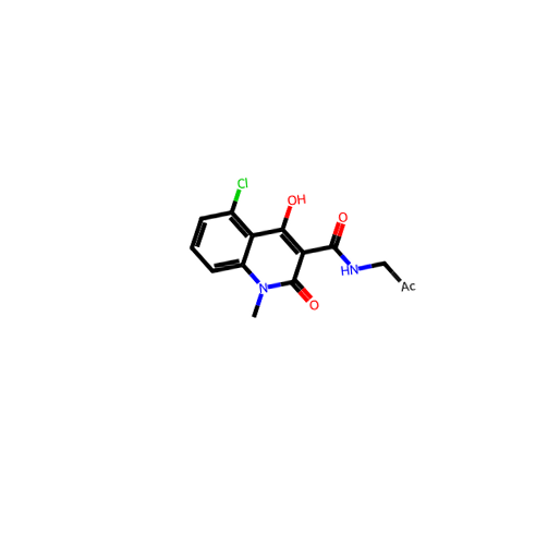 CC(=O)CNC(=O)c1c(O)c2c(Cl)cccc2n(C)c1=O